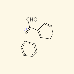 O=C/C(=C/c1ccccc1)C1=CCCC=C1